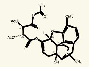 COc1ccc2c3c1O[C@H]1C(OC(=O)[C@H](OC(C)=O)[C@@H](OC(C)=O)C(=O)OC(=O)C(F)(F)F)=CC[C@@]4(O)C(C2)N(C)CC[C@]314